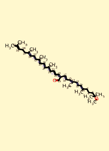 COC(C)(C)CCC/C(C)=C/C=C/C(C)=C/C=C/C(C=O)=C/C=C/C=C(C)/C=C/C=C(C)/C=C/C=C(\C)CCC=C(C)C